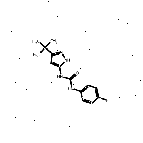 CC(C)(C)c1cc(NC(=O)Nc2ccc(Br)cc2)[nH]n1